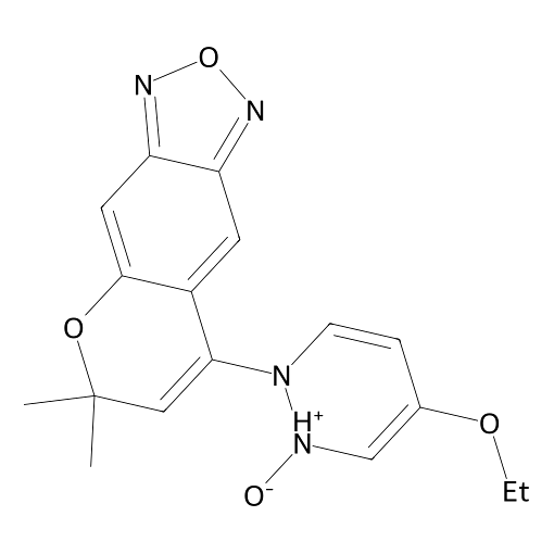 CCOC1=C[NH+]([O-])N(C2=CC(C)(C)Oc3cc4nonc4cc32)C=C1